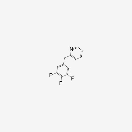 Fc1cc(Cc2ccccn2)cc(F)c1F